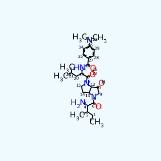 CCC(C)C(N)C(=O)N1CC(=O)C2C1CCN2C(=O)C(CC(C)C)NC(=O)c1ccc(N(C)C)cc1